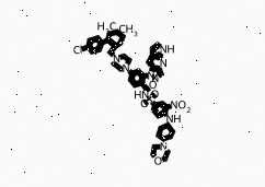 CC1(C)CCC(CN2CCN(c3ccc(C(=O)NS(=O)(=O)c4ccc(N[C@H]5CC[C@@H](N6CCOCC6)CC5)c([N+](=O)[O-])c4)c(-n4ncc5nc6[nH]ccc6cc54)c3)CC2)=C(c2ccc(Cl)cc2)C1